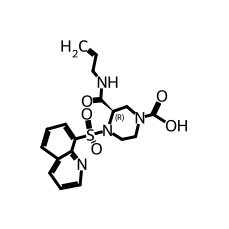 C=CCNC(=O)[C@H]1CN(C(=O)O)CCN1S(=O)(=O)c1cccc2cccnc12